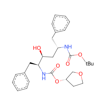 CC(C)(C)OC(=O)N[C@@H](Cc1ccccc1)C[C@H](O)[C@H](Cc1ccccc1)NC(=O)O[C@H]1CCOC1